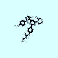 CCNC(=O)Nc1ccc(-c2nc(N3CCOC[C@@H]3C)cc(C3(S(=O)(=O)c4ccc(C)cc4)CC3)n2)cc1